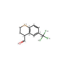 O=CC1CCSc2ccc(C(F)(F)F)cc21